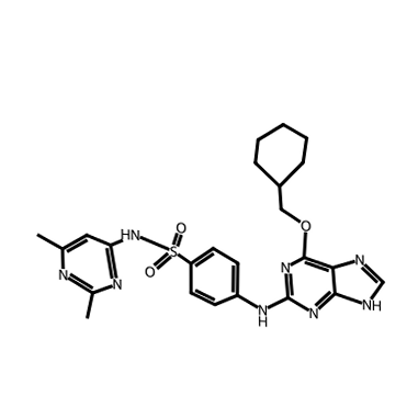 Cc1cc(NS(=O)(=O)c2ccc(Nc3nc(OCC4CCCCC4)c4nc[nH]c4n3)cc2)nc(C)n1